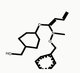 C=C/C=C(/OC1CCC(CO)CC1)N(C)OCc1ccccc1